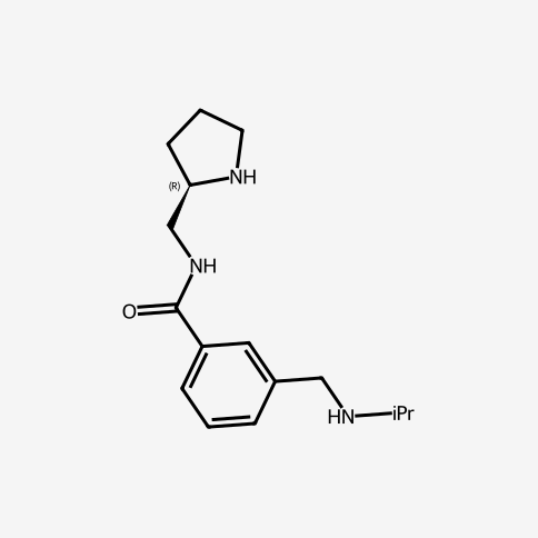 CC(C)NCc1cccc(C(=O)NC[C@H]2CCCN2)c1